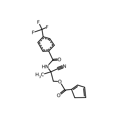 CC(C#N)(COC(=O)C1=CC=CC1)NC(=O)c1ccc(C(F)(F)F)cc1